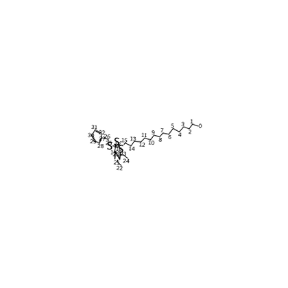 CCCCCCCCCCCCCCCCSC([S])(CN(CC)CC)SCc1ccccc1